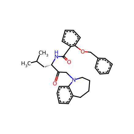 CC(C)C[C@H](NC(=O)c1ccccc1OCc1ccccc1)C(=O)CN1CCCCc2ccccc21